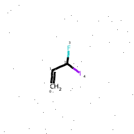 C=CC(F)I